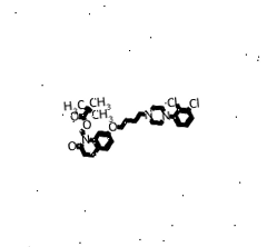 CC(C)(C)C(=O)OCN1C(=O)CCc2ccc(OCCCCN3CCN(c4cccc(Cl)c4Cl)CC3)cc21